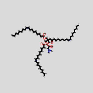 CCCCCCCC/C=C\CCCCCCCC(=O)CC(COC(=O)CCCCCCC/C=C\CCCCCCCC)(COC(=O)CCCCCCC/C=C\CCCCCCCC)COC(=O)CN(C)C